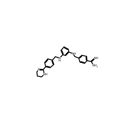 N=C(N)c1ccc(CNc2cccc(NCc3ccc(C4=NCCCN4)cc3)c2)cc1